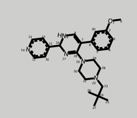 COc1cccc(C2=CNC(c3ccncc3)N=C2N2CCN(CC(C)(C)C)CC2)c1